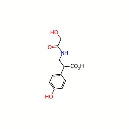 O=C(CO)NCC(C(=O)O)c1ccc(O)cc1